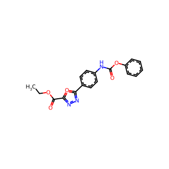 CCOC(=O)c1nnc(-c2ccc(NC(=O)Oc3ccccc3)cc2)o1